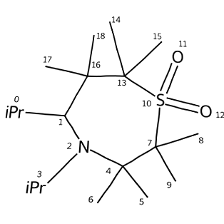 CC(C)C1N(C(C)C)C(C)(C)C(C)(C)S(=O)(=O)C(C)(C)C1(C)C